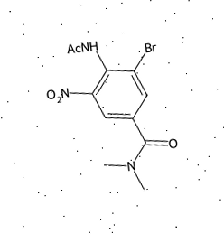 CC(=O)Nc1c(Br)cc(C(=O)N(C)C)cc1[N+](=O)[O-]